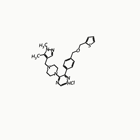 Cc1c(CN2CCN(c3nccnc3-c3ccc(COCc4cccs4)cc3)CC2)cnn1C.Cl